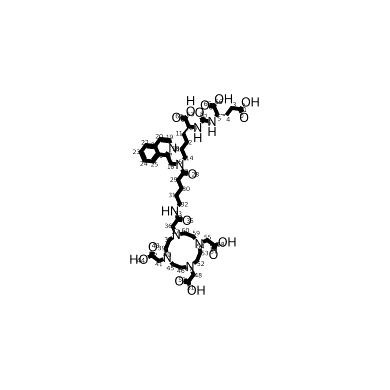 O=C(O)CC[C@H](NC(=O)N[C@@H](CCCCN(Cc1nccc2ccccc12)C(=O)CCCCNC(=O)CN1CCN(CC(=O)O)CCN(CC(=O)O)CCN(CC(=O)O)CC1)C(=O)O)C(=O)O